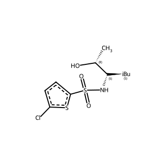 CC[C@H](C)[C@H](NS(=O)(=O)c1ccc(Cl)s1)[C@@H](C)O